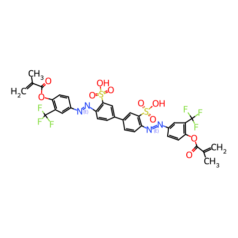 C=C(C)C(=O)Oc1ccc(/N=N/c2ccc(-c3ccc(/N=N/c4ccc(OC(=O)C(=C)C)c(C(F)(F)F)c4)c(S(=O)(=O)O)c3)cc2S(=O)(=O)O)cc1C(F)(F)F